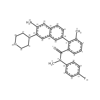 Cc1cccc(C(=O)N(C)c2ccc(F)cc2)c1-c1ccc2nc(N)c(N3CCOCC3)cc2c1